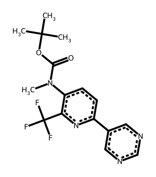 CN(C(=O)OC(C)(C)C)c1ccc(-c2cncnc2)nc1C(F)(F)F